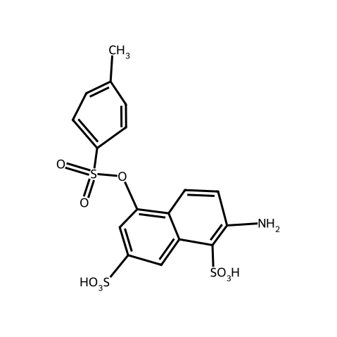 Cc1ccc(S(=O)(=O)Oc2cc(S(=O)(=O)O)cc3c(S(=O)(=O)O)c(N)ccc23)cc1